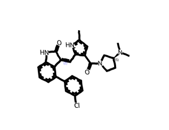 Cc1cc(C(=O)N2CC[C@H](N(C)C)C2)c(/C=C2\C(=O)Nc3cccc(-c4cccc(Cl)c4)c32)[nH]1